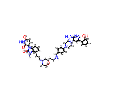 CN(CC[C@@H]1CN(CCCc2cccc3c2n(C)c(=O)n3C2CCC(=O)NC2=O)CCO1)Cc1ccc(N2CCN(c3cc(-c4ccccc4O)nnc3N)CC2)cc1